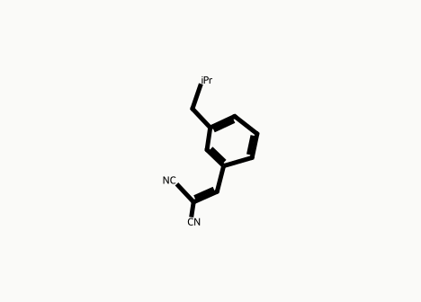 CC(C)Cc1cccc(C=C(C#N)C#N)c1